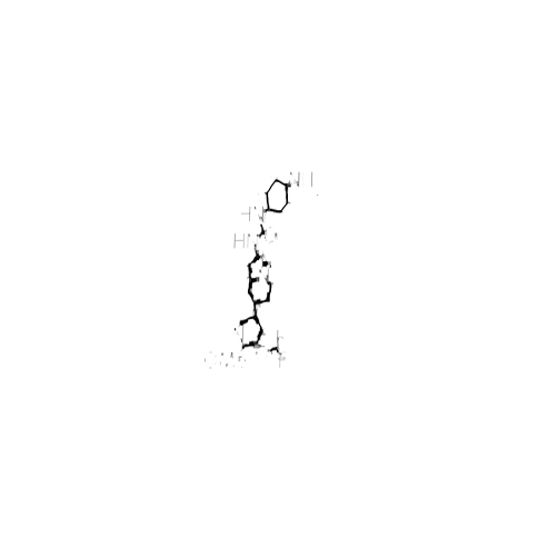 COc1ncc(-c2ccn3nc(NC(=O)NC4CCC(N)CC4)cc3c2)cc1OC(F)F